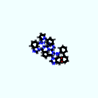 C1=CCC(c2ccccc2)C(Nc2cccc3ncn(-c4nc5ncnc6nc(-n7cnc8cccc(Nc9cccn9-c9ccccc9)c87)c7ccc4c7n56)c23)=C1